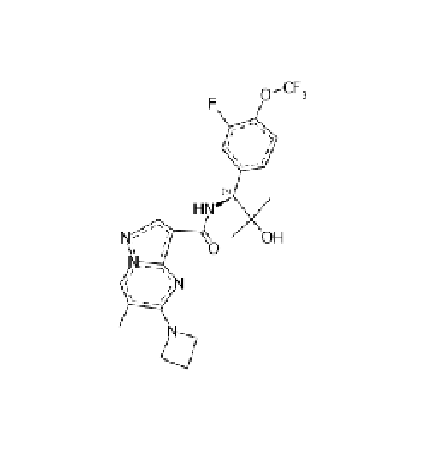 Cc1cn2ncc(C(=O)N[C@@H](c3ccc(OC(F)(F)F)c(F)c3)C(C)(C)O)c2nc1N1CCC1